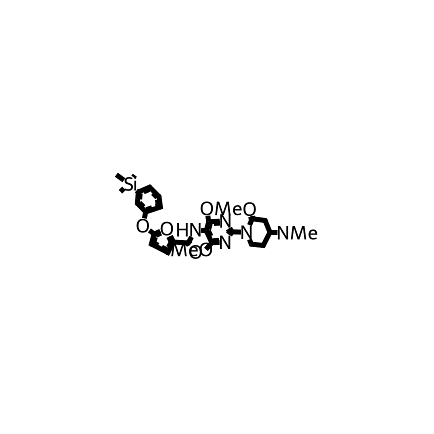 CNC1CCN(c2nc(OC)c(NC(=O)c3ccc(Oc4cccc([Si](C)(C)C)c4)o3)c(OC)n2)C(=O)C1